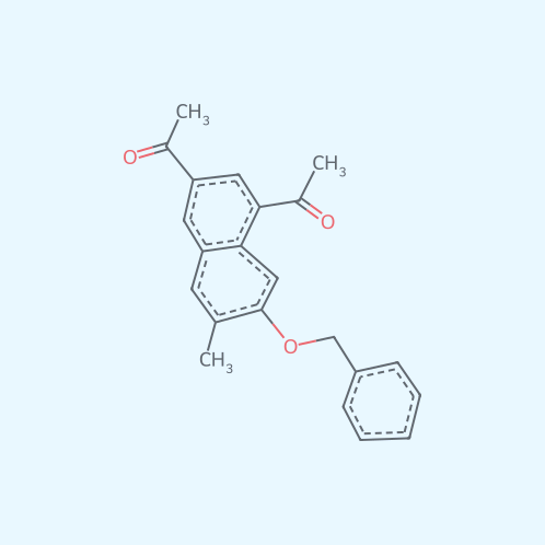 CC(=O)c1cc(C(C)=O)c2cc(OCc3ccccc3)c(C)cc2c1